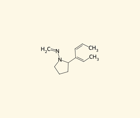 C=NN1CCCC1C(/C=C\C)=C/C